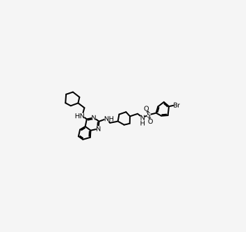 O=S(=O)(NCC1CCC(CNc2nc(NCC3CCCCC3)c3ccccc3n2)CC1)c1ccc(Br)cc1